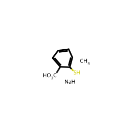 C.O=C(O)c1ccccc1S.[NaH]